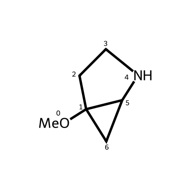 COC12CCNC1C2